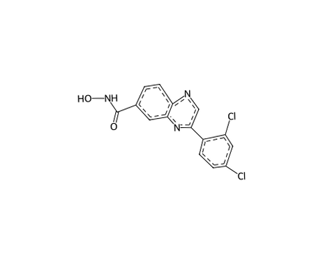 O=C(NO)c1ccc2ncc(-c3ccc(Cl)cc3Cl)nc2c1